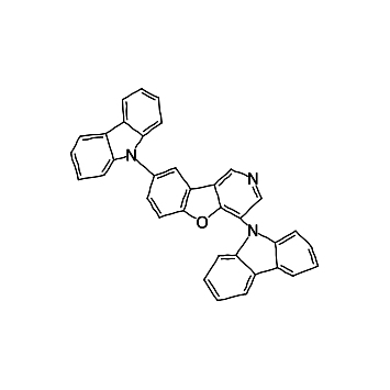 c1ccc2c(c1)c1ccccc1n2-c1ccc2oc3c(-n4c5ccccc5c5ccccc54)cncc3c2c1